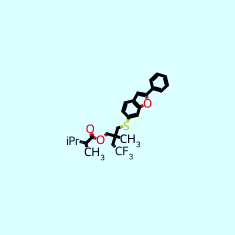 CC(C)C(C)C(=O)OCC(C)(CSc1ccc2cc(-c3ccccc3)oc2c1)CC(F)(F)F